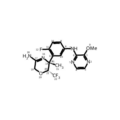 COc1nccnc1Nc1ccc(F)c([C@@]2(C)N=C(N)CO[C@H]2C(F)(F)F)c1